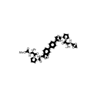 COC(=O)N[C@@H](C(=O)N1CCC[C@H]1C(=O)Nc1noc2cc(-c3ccc(-c4cnc([C@@H]5CCCN5C(=O)[C@H](NC5OCO5)C(C)C)[nH]4)cc3)ccc12)C(C)C